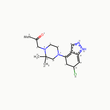 CNC(=O)CN1CCN(C2=c3cn[nH]c3=CC(Cl)C2)CC1(C)C